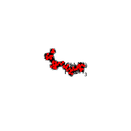 CC1(C)c2cc(-c3cccc(-c4ccc(N(c5ccc(-c6ccc(N(c7ccc(-c8ccccc8)cc7)c7cccc8ccccc78)cc6)cc5)c5cccc6ccccc56)cc4)c3)ccc2-c2ccc(N(c3ccccc3)c3ccc4c(c3)C(C)(C)c3cc(N(c5ccccc5)c5cccc6ccccc56)ccc3-4)cc21